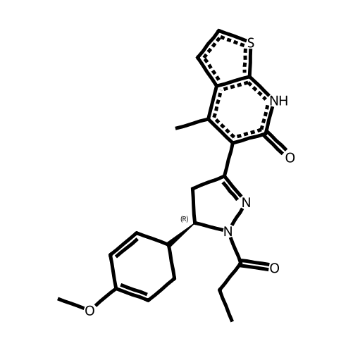 CCC(=O)N1N=C(c2c(C)c3ccsc3[nH]c2=O)C[C@@H]1C1C=CC(OC)=CC1